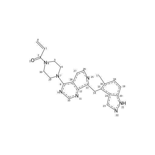 C=CC(=O)N1CCN(c2ncnc3c(Cc4c(C)ccc5[nH]ncc45)nccc23)CC1